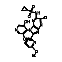 CCOC1=NC(c2nc3nc(Cl)c(NS(=O)(=O)C4CC4)nc3n2-c2c(O)cncc2OC)=C=C=C1